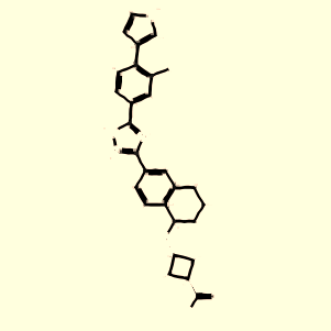 Cc1cc(-c2nc(-c3ccc4c(c3)CCCC4N[C@H]3C[C@H](C(=O)O)C3)no2)ccc1-c1ccoc1